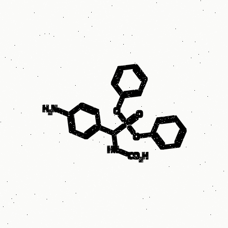 Nc1ccc(C(NC(=O)O)P(=O)(Oc2ccccc2)Oc2ccccc2)cc1